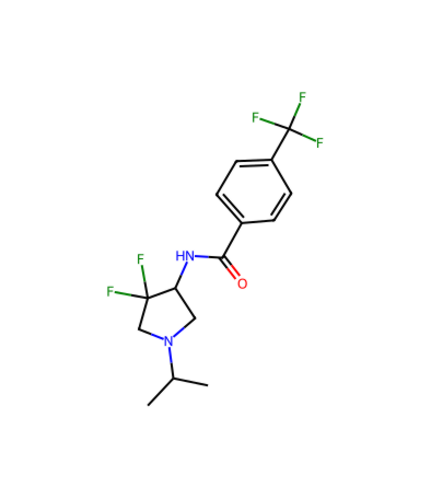 CC(C)N1CC(NC(=O)c2ccc(C(F)(F)F)cc2)C(F)(F)C1